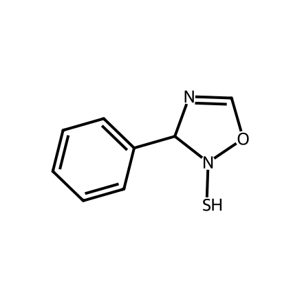 SN1OC=NC1c1ccccc1